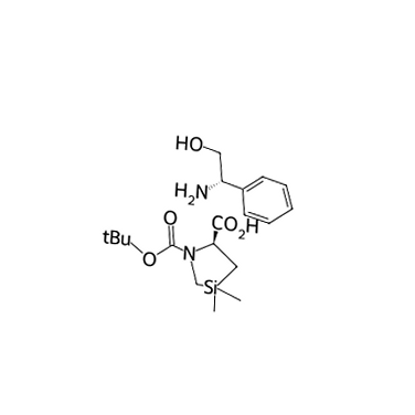 CC(C)(C)OC(=O)N1C[Si](C)(C)C[C@@H]1C(=O)O.N[C@H](CO)c1ccccc1